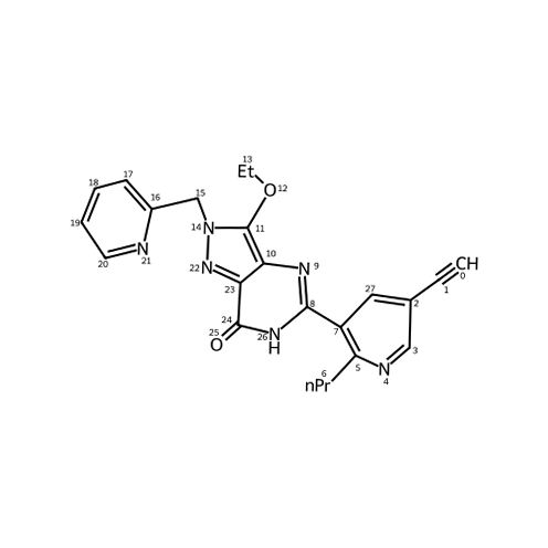 C#Cc1cnc(CCC)c(-c2nc3c(OCC)n(Cc4ccccn4)nc3c(=O)[nH]2)c1